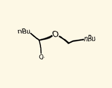 CCCCCOC([O])CCCC